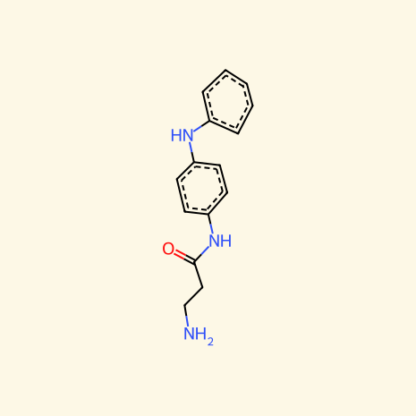 NCCC(=O)Nc1ccc(Nc2ccccc2)cc1